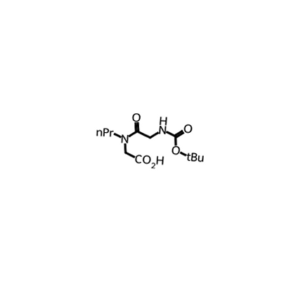 CCCN(CC(=O)O)C(=O)CNC(=O)OC(C)(C)C